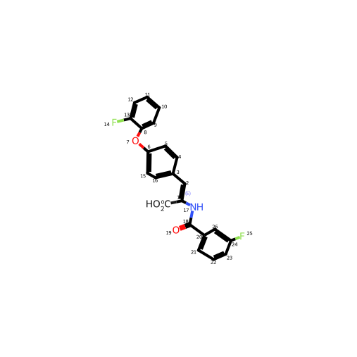 O=C(O)/C(=C\c1ccc(Oc2ccccc2F)cc1)NC(=O)c1cccc(F)c1